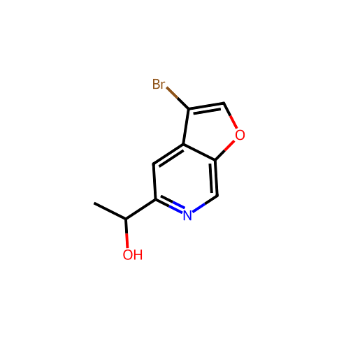 CC(O)c1cc2c(Br)coc2cn1